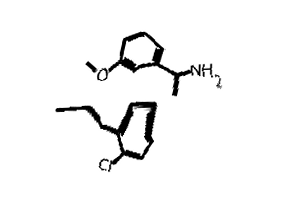 CCCc1ccccc1Cl.COc1cccc(C(C)N)c1